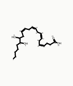 CCCCCC(O)C(O)C/C=C\C/C=C\C/C=C\C/C=C\CCC(=O)O